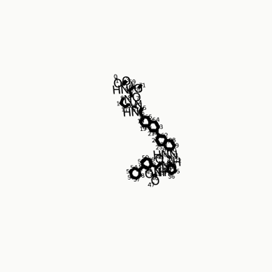 COC(=O)N[C@H](C(=O)N1CCC[C@H]1c1ncc(-c2ccc3cc(-c4ccc5c(ccc6nc([C@@H]7[C@H]8CC[C@H](C8)N7C(=O)[C@H](NC(=O)OC)c7cccc(C8CCCCC8)c7)[nH]c65)c4)ccc3c2)[nH]1)[C@@H](C)OC